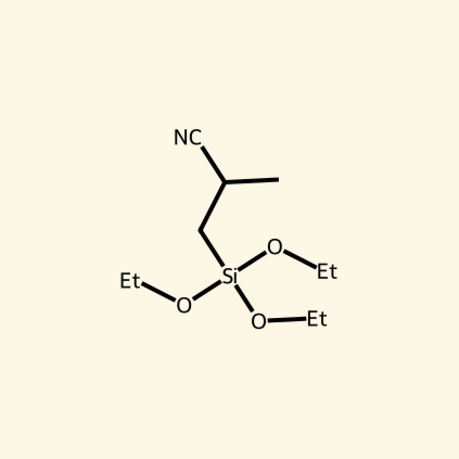 CCO[Si](CC(C)C#N)(OCC)OCC